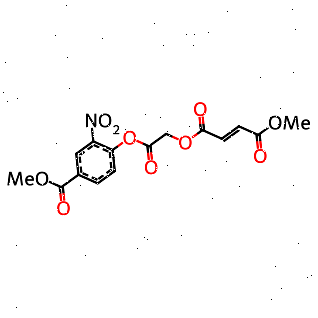 COC(=O)/C=C/C(=O)OCC(=O)Oc1ccc(C(=O)OC)cc1[N+](=O)[O-]